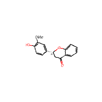 COc1cc([C@H]2CC(=O)c3ccccc3O2)ccc1O